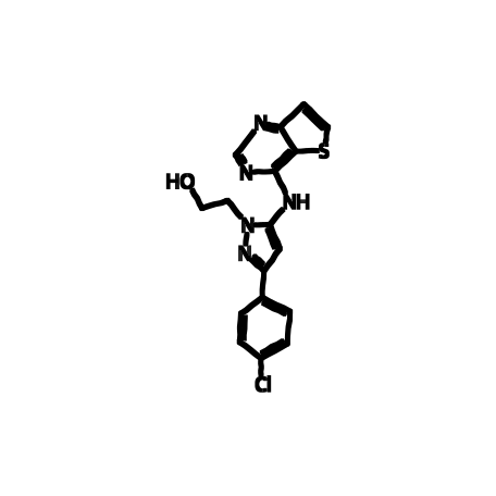 OCCn1nc(-c2ccc(Cl)cc2)cc1Nc1ncnc2ccsc12